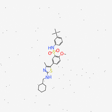 COc1ccc(-c2sc(NCC3CCCCC3)nc2C)cc1S(=O)(=O)Nc1cccc(C(C)(C)C)c1